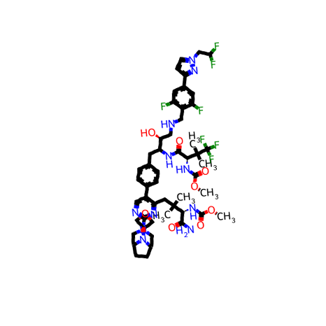 COC(=O)N[C@H](C(N)=O)C(C)(C)Cc1nc(N2CC3CCC(C2)N3C2COC2)ncc1-c1ccc(CC(NC(=O)[C@@H](NC(=O)OC)C(C)(C)C(F)(F)F)[C@@H](O)CNCc2c(F)cc(-c3ccn(CC(F)F)n3)cc2F)cc1